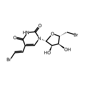 O=c1[nH]c(=O)n([C@@H]2O[C@H](CBr)[C@@H](O)[C@H]2O)cc1C=CBr